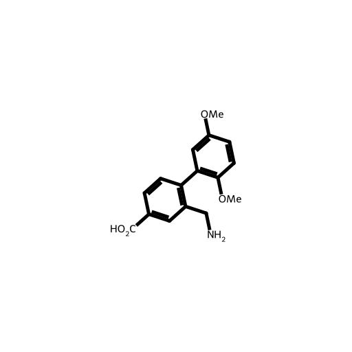 COc1ccc(OC)c(-c2ccc(C(=O)O)cc2CN)c1